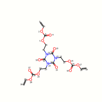 C=COC(=O)OCCn1c(=O)n(CCOC(=O)OC=C)c(=O)n(CCOC(=O)OC=C)c1=O